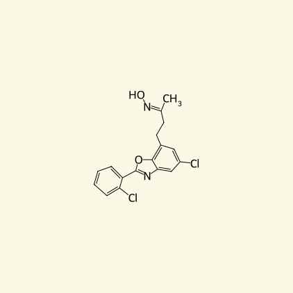 CC(CCc1cc(Cl)cc2nc(-c3ccccc3Cl)oc12)=NO